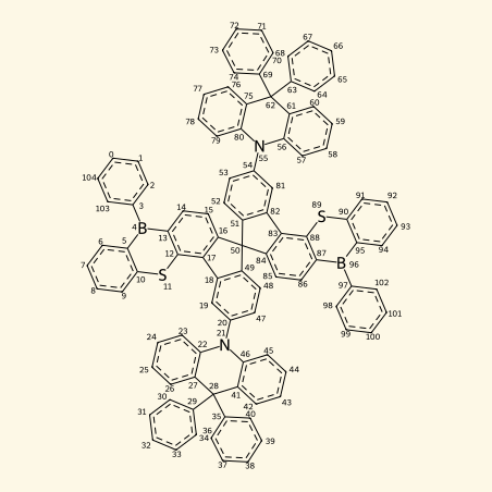 c1ccc(B2c3ccccc3Sc3c2ccc2c3-c3cc(N4c5ccccc5C(c5ccccc5)(c5ccccc5)c5ccccc54)ccc3C23c2ccc(N4c5ccccc5C(c5ccccc5)(c5ccccc5)c5ccccc54)cc2-c2c3ccc3c2Sc2ccccc2B3c2ccccc2)cc1